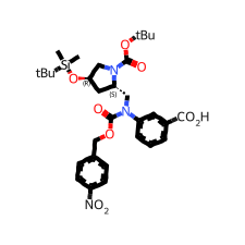 CC(C)(C)OC(=O)N1C[C@H](O[Si](C)(C)C(C)(C)C)C[C@H]1CN(C(=O)OCc1ccc([N+](=O)[O-])cc1)c1cccc(C(=O)O)c1